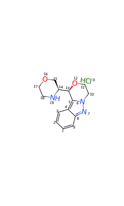 Cl.c1ccc2c3n(nc2c1)CCO[C@@H]3[C@@H]1COCCN1